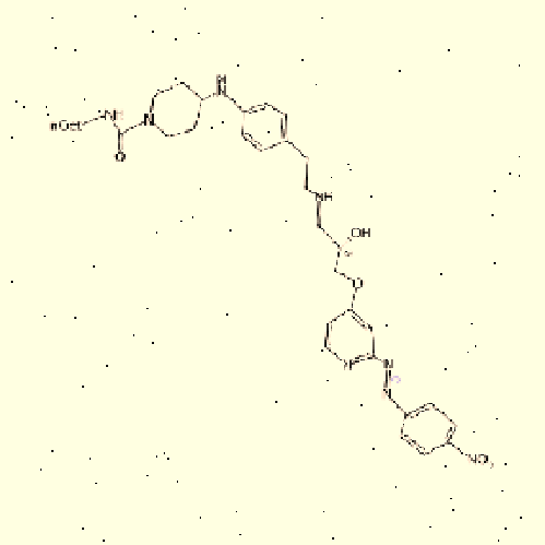 CCCCCCCCNC(=O)N1CCC(Nc2ccc(CCNC[C@H](O)COc3ccnc(/N=N/c4ccc([N+](=O)[O-])cc4)c3)cc2)CC1